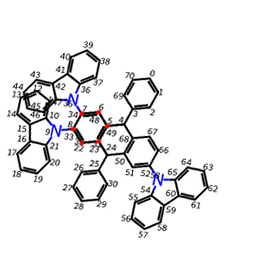 c1ccc(C23c4ccc(-n5c6ccccc6c6ccccc65)cc4C(c4ccccc4)(c4ccc(-n5c6ccccc6c6ccccc65)cc42)c2cc(-n4c5ccccc5c5ccccc54)ccc23)cc1